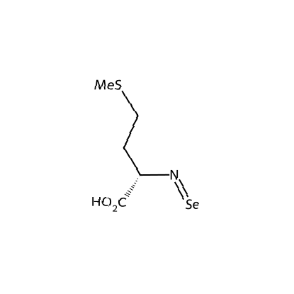 CSCC[C@H](N=[Se])C(=O)O